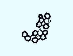 c1ccc2c(c1)Oc1ccccc1C21c2ccccc2-c2ccc(N(c3ccc(-c4cccc5ccccc45)cc3)c3cccc4ccc5c6ccccc6oc5c34)cc21